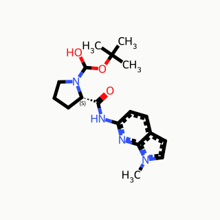 Cn1ccc2ccc(NC(=O)[C@@H]3CCCN3C(O)OC(C)(C)C)nc21